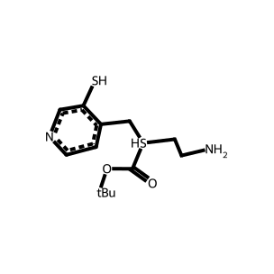 CC(C)(C)OC(=O)[SH](CCN)Cc1ccncc1S